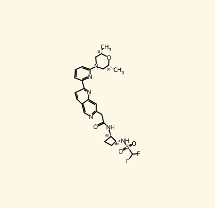 C[C@@H]1CN(c2cccc(-c3ccc4cnc(CC(=O)N[C@@H]5CC[C@H]5NS(=O)(=O)C(F)F)cc4n3)n2)C[C@H](C)O1